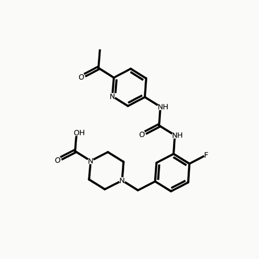 CC(=O)c1ccc(NC(=O)Nc2cc(CN3CCN(C(=O)O)CC3)ccc2F)cn1